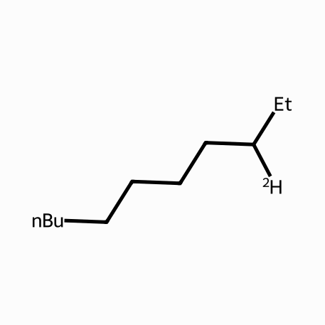 [2H]C(CC)CCCCCCCC